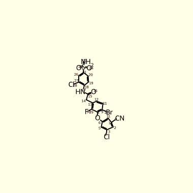 N#Cc1cc(Cl)cc(Oc2c(Br)ccc(CC(=O)Nc3ccc(S(N)(=O)=O)cc3Cl)c2F)c1